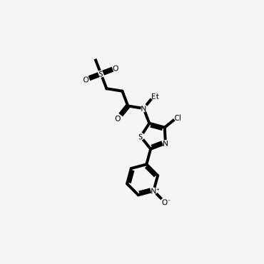 CCN(C(=O)CCS(C)(=O)=O)c1sc(-c2ccc[n+]([O-])c2)nc1Cl